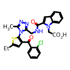 CCc1cc(C(=O)c2ccccc2Cl)c(-n2c(C)nnc2CNC(=O)c2cc3ccccc3n2CC(=O)O)s1